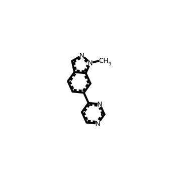 Cn1ncc2ccc(-c3ccncn3)cc21